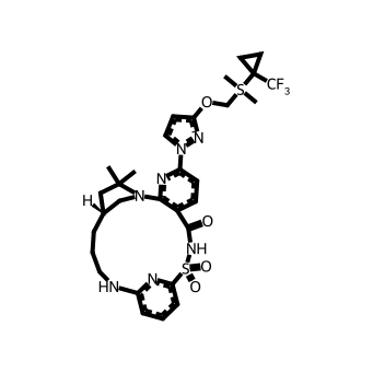 CC1(C)C[C@H]2CCCNc3cccc(n3)S(=O)(=O)NC(=O)c3ccc(-n4ccc(OCS(C)(C)C5(C(F)(F)F)CC5)n4)nc3N1C2